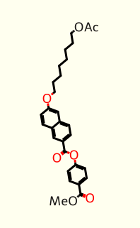 COC(=O)c1ccc(OC(=O)c2ccc3cc(OCCCCCCCCOC(C)=O)ccc3c2)cc1